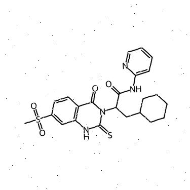 CS(=O)(=O)c1ccc2c(=O)n(C(CC3CCCCC3)C(=O)Nc3ccccn3)c(=S)[nH]c2c1